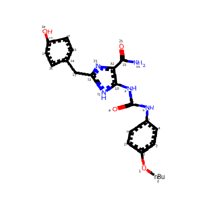 CCCCOc1ccc(NC(=O)Nc2[nH]c(Cc3ccc(O)cc3)nc2C(N)=O)cc1